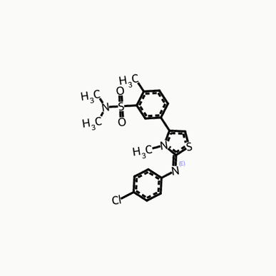 Cc1ccc(-c2cs/c(=N/c3ccc(Cl)cc3)n2C)cc1S(=O)(=O)N(C)C